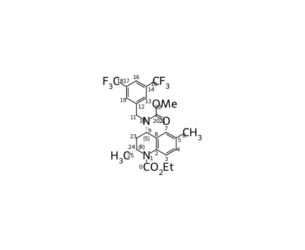 CCOC(=O)N1c2ccc(C)cc2[C@@H](N(Cc2cc(C(F)(F)F)cc(C(F)(F)F)c2)C(=O)OC)C[C@H]1C